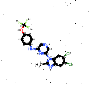 Cc1nc2cc(Cl)c(Cl)cc2n1-c1cncc(Nc2ccc(OC(F)(F)F)cc2)n1